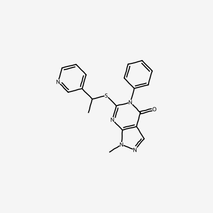 CC(Sc1nc2c(cnn2C)c(=O)n1-c1ccccc1)c1cccnc1